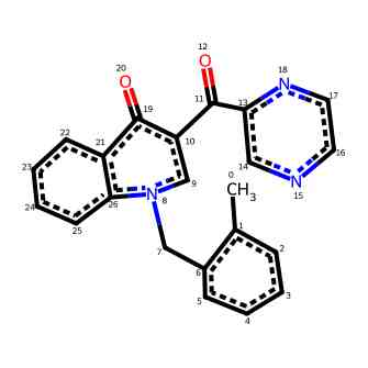 Cc1ccccc1Cn1cc(C(=O)c2cnccn2)c(=O)c2ccccc21